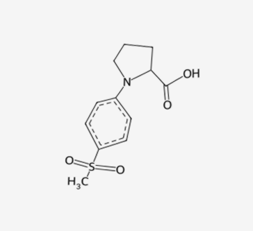 CS(=O)(=O)c1ccc(N2CCCC2C(=O)O)cc1